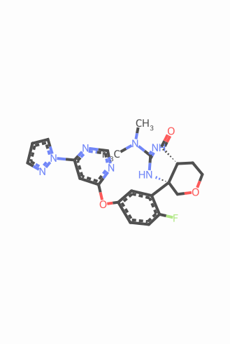 CN(C)C(=N)N[C@@]1(c2cc(Oc3cc(-n4cccn4)ncn3)ccc2F)COCC[C@H]1C=O